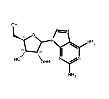 CO[C@H]1C(n2cnc3c(N)nc(N)nc32)O[C@H](CO)[C@H]1O